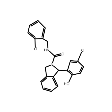 O=C(NCc1ccccc1Cl)N1Cc2ccccc2C1c1cc(Cl)ccc1O